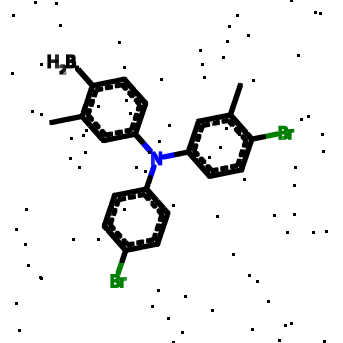 Bc1ccc(N(c2ccc(Br)cc2)c2ccc(Br)c(C)c2)cc1C